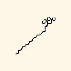 CC=CCCCCCCCCCCCCCCCC1CC(=O)OC1=O